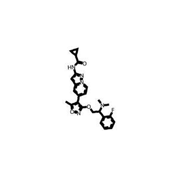 Cc1onc(OCC(c2ccccc2F)N(C)C)c1-c1ccn2nc(NC(=O)C3CC3)cc2c1